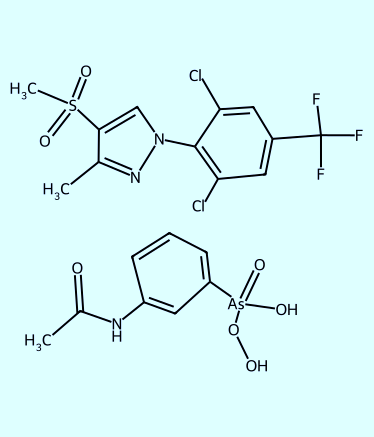 CC(=O)Nc1cccc([As](=O)(O)OO)c1.Cc1nn(-c2c(Cl)cc(C(F)(F)F)cc2Cl)cc1S(C)(=O)=O